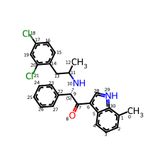 Cc1cccc2c(C(=O)[C@@H](NC(C)Cc3ccc(Cl)cc3Cl)c3ccccc3)c[nH]c12